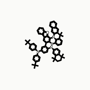 CC(C)(C)c1ccc(N(c2ccc(C(C)(C)C)cc2)c2ccc3c(c2)-c2cc4c(oc5ccccc54)c4c2B(c2cccc5c2N4c2cc4ccccc4cc2C5(C)C)N3c2ccc3c(c2)C(C)(C)CCC3(C)C)cc1